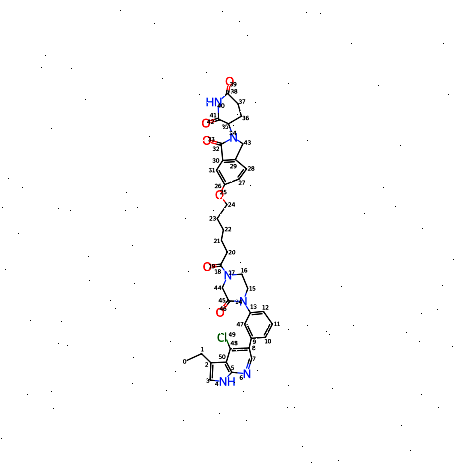 CCc1c[nH]c2ncc(-c3cccc(N4CCN(C(=O)CCCCCOc5ccc6c(c5)C(=O)N(C5CCC(=O)NC5=O)C6)CC4=O)c3)c(Cl)c12